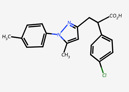 Cc1ccc(-n2nc(CC(C(=O)O)c3ccc(Cl)cc3)cc2C)cc1